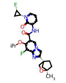 CC(C)Oc1c(C(=O)Nc2cccn([C@@H]3C[C@@H]3F)c2=O)cn2cc([C@]34CC[C@](C)(C3)OC4)nc2c1F